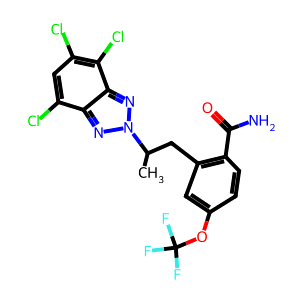 CC(Cc1cc(OC(F)(F)F)ccc1C(N)=O)n1nc2c(Cl)cc(Cl)c(Cl)c2n1